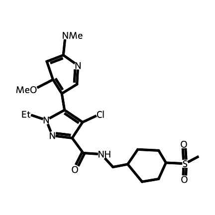 CCn1nc(C(=O)NCC2CCC(S(C)(=O)=O)CC2)c(Cl)c1-c1cnc(NC)cc1OC